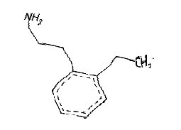 [CH2]Cc1ccccc1CCN